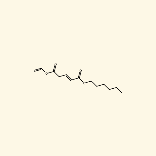 C=COC(=O)CC=CC(=O)OCCCCCC